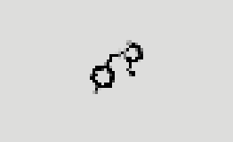 Fc1ccc(Cn2nccc2Br)cc1